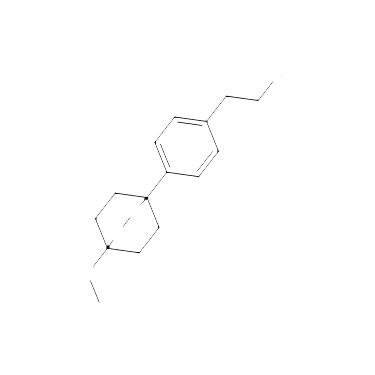 COC12CCC(c3ccc(CCO)cc3)(CC1)CC2